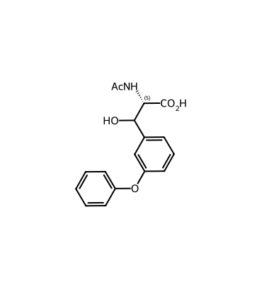 CC(=O)N[C@H](C(=O)O)C(O)c1cccc(Oc2ccccc2)c1